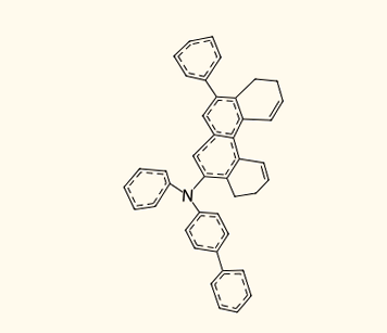 C1=Cc2c(c(-c3ccccc3)cc3cc(N(c4ccccc4)c4ccc(-c5ccccc5)cc4)c4c(c23)C=CCC4)CC1